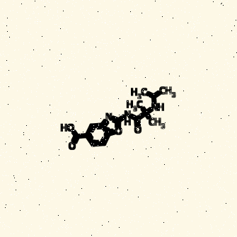 CC(C)NC(C)(C)C(=O)Nc1nc2cc(C(=O)O)ccc2o1